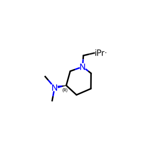 C[C](C)CN1CCC[C@@H](N(C)C)C1